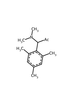 CC(=O)C(c1c(C)cc(C)cc1C)N(C)C